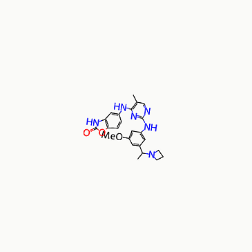 COc1cc(Nc2ncc(C)c(Nc3ccc4oc(=O)[nH]c4c3)n2)cc(C(C)N2CCC2)c1